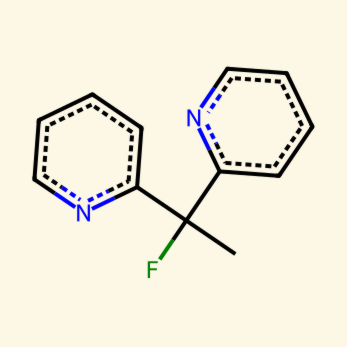 CC(F)(c1ccccn1)c1ccccn1